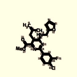 C=C(C)Cc1c(NCc2ccco2)nc(-c2ccc(Cl)c(F)c2)nc1C(=O)OC